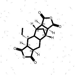 CC[C@@H]1C2C(C[C@H]3C(=O)OC(=O)[C@@H]13)[C@@H]1C[C@H]2[C@H]2C(=O)OC(=O)[C@H]21